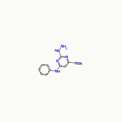 N#Cc1cc(Nc2ccccc2)nc(NN)n1